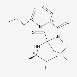 C=C[C@H](C(=O)N(C)C(C=O)(CC(C)C)N[C@H](C)C(C)C)N(C)C(=O)CCC